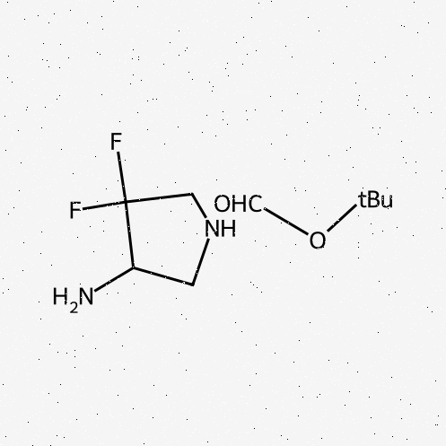 CC(C)(C)OC=O.NC1CNCC1(F)F